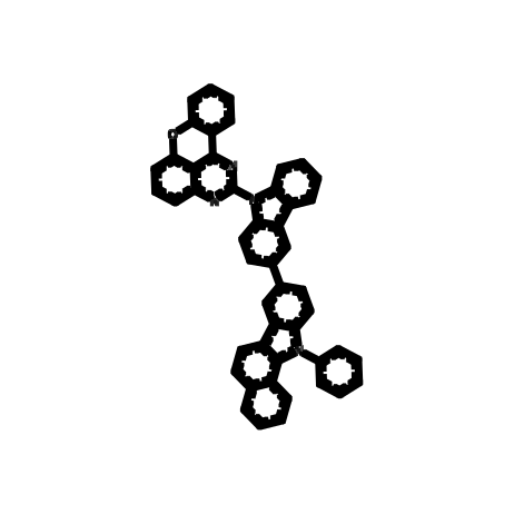 c1ccc(-n2c3ccc(-c4ccc5c(c4)c4ccccc4n5-c4nc5c6c(cccc6n4)Oc4ccccc4-5)cc3c3ccc4ccccc4c32)cc1